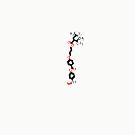 CC(C)CC(C(=O)OCCCCOc1ccc(C(=O)Oc2ccc(BO)cc2)cc1)C(C)C